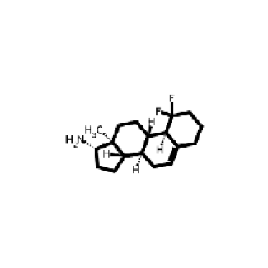 C[C@]12CC[C@H]3[C@@H](CC=C4CCCC(F)(F)[C@@H]43)[C@@H]1CC[C@@H]2N